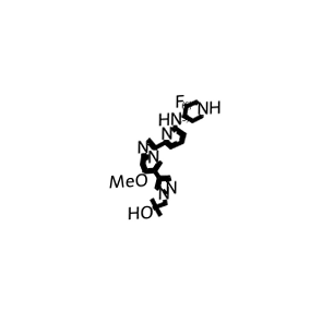 COc1cc2ncc(-c3cccc(N[C@H]4CCNC[C@@H]4F)n3)n2cc1-c1cnn(CC(C)(C)O)c1